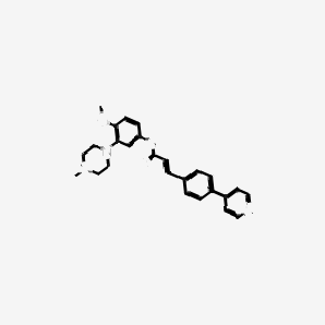 COc1ccc(NC(=O)C=Cc2ccc(-c3ccncc3)cc2)cc1N1CCN(C)CC1